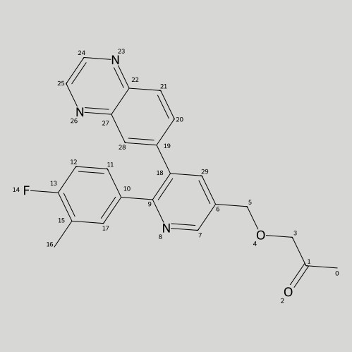 CC(=O)COCc1cnc(-c2ccc(F)c(C)c2)c(-c2ccc3nccnc3c2)c1